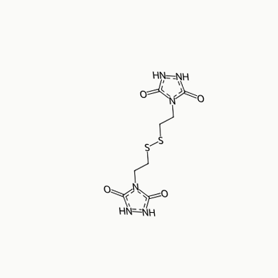 O=c1[nH][nH]c(=O)n1CCSSCCn1c(=O)[nH][nH]c1=O